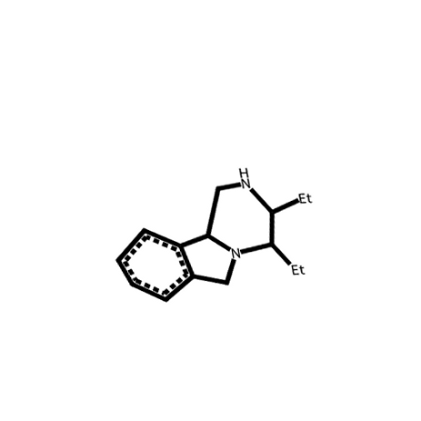 CCC1NCC2c3ccccc3CN2C1CC